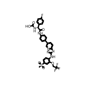 CS(=O)(=O)c1ccc(Nc2nc3ccc(-c4ccc(NC(=O)[C@H](NC(=O)O)c5ccc(F)cc5)cc4)cn3n2)c(OCC(F)(F)F)c1